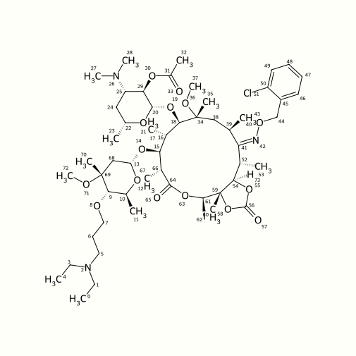 CCN(CC)CCCO[C@H]1[C@H](C)O[C@@H](O[C@H]2[C@H](C)[C@@H](O[C@@H]3O[C@H](C)C[C@H](N(C)C)[C@H]3OC(C)=O)[C@](C)(OC)C[C@@H](C)/C(=N\OCc3ccccc3Cl)[C@H](C)[C@H]3OC(=O)O[C@]3(C)[C@@H](I)OC(=O)[C@@H]2C)C[C@@]1(C)OC